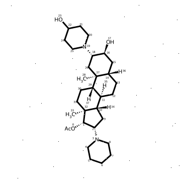 CC(=O)O[C@H]1[C@@H](N2CCCCC2)C[C@H]2[C@@H]3CC[C@H]4C[C@H](O)[C@@H](N5CCC(O)CC5)C[C@]4(C)[C@H]3CC[C@@]21C